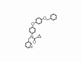 O=C(C1CC1)N(Cc1cccnc1)c1ccc(Oc2ccc(OCc3ccccc3)cc2)cc1